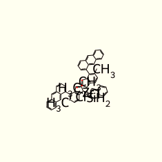 CC1=Cc2c(ccc(C)c2-c2cccc3cc4ccccc4cc23)[CH]1[Zr](=[SiH2])([Cl])([Cl])([CH2]c1ccccc1)[CH]1C(C)=Cc2c1ccc(C)c2-c1cccc2cc3ccccc3cc12